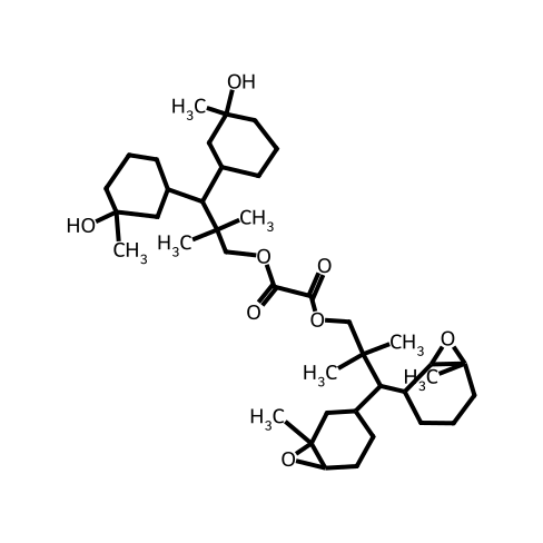 CC1(O)CCCC(C(C2CCCC(C)(O)C2)C(C)(C)COC(=O)C(=O)OCC(C)(C)C(C2CCC3OC3(C)C2)C2CCCC3(C)OC23)C1